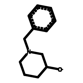 [O]C1CCCN(Cc2ccccc2)C1